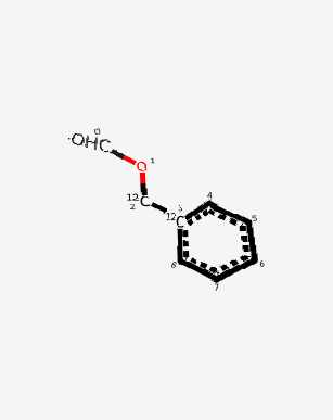 O=[12C]O[12CH2][12c]1ccccc1